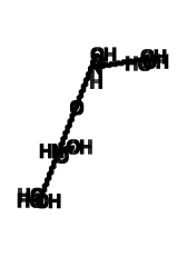 O=C(CCCCCCCCCCCCCCC(O)(O)O)NC(CCCO)CCCCCCCCCCCCCOCCCCCCCCCCCCCC(CCCO)NC(=O)CCCCCCCCCCCCCCC(O)(O)O